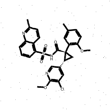 COc1ccc(C)cc1[C@]1(C(=O)NS(=O)(=O)c2cccc3nc(C)ccc23)C[C@@H]1c1cnc(OC)c(Cl)c1